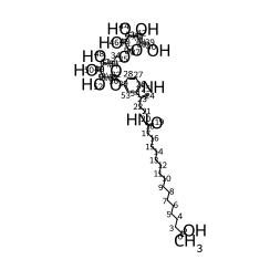 CC(O)CCCCCCCCCCCCCCCC(=O)NCCc1c[nH]c2ccc(O[C@H]3O[C@H](CO[C@H]4O[C@H](CO)[C@@H](O)[C@H](O)[C@H]4O)[C@@H](O)[C@H](O)[C@H]3O)cc12